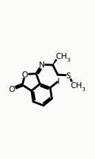 CSC[C@H](C)/N=C1/OC(=O)c2cccc(I)c21